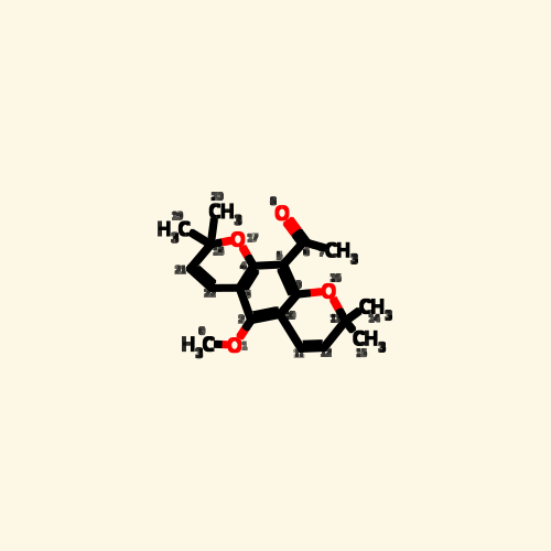 COc1c2c(c(C(C)=O)c3c1C=CC(C)(C)O3)OC(C)(C)C=C2